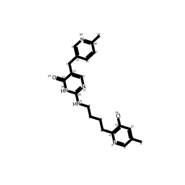 Cc1cnc(CCCCNc2ncc(Cc3ccc(C)nc3)c(=O)[nH]2)c(Cl)c1